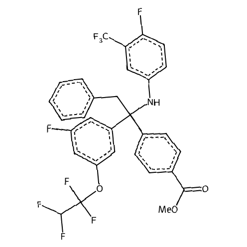 COC(=O)c1ccc(C(Cc2ccccc2)(Nc2ccc(F)c(C(F)(F)F)c2)c2cc(F)cc(OC(F)(F)C(F)F)c2)cc1